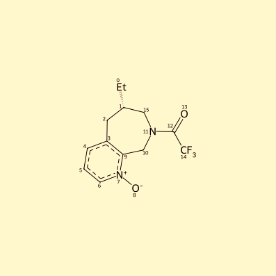 CC[C@H]1Cc2ccc[n+]([O-])c2CN(C(=O)C(F)(F)F)C1